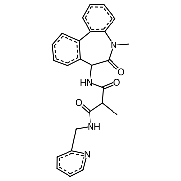 CC(C(=O)NCc1ccccn1)C(=O)NC1C(=O)N(C)c2ccccc2-c2ccccc21